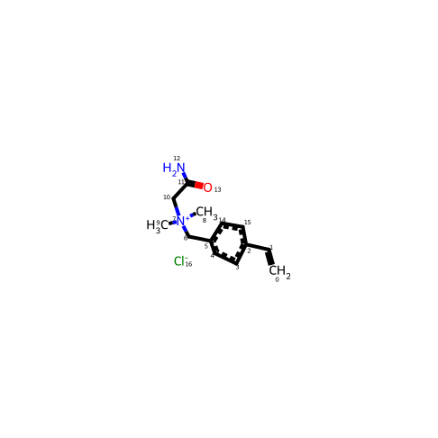 C=Cc1ccc(C[N+](C)(C)CC(N)=O)cc1.[Cl-]